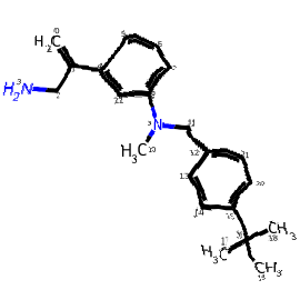 C=C(CN)c1cccc(N(C)Cc2ccc(C(C)(C)C)cc2)c1